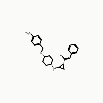 CC/C(=C\c1ccccc1)[C@@H]1C[C@H]1N[C@H]1CC[C@@H](NCc2ccc(C(=O)O)cc2)CC1